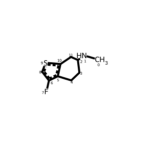 CNC1CCc2c(F)csc2C1